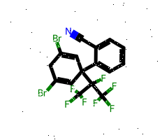 N#Cc1ccccc1C1(C(F)(C(F)(F)F)C(F)(F)F)C=C(Br)[CH]C(Br)=C1